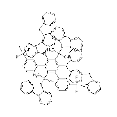 CC(C)(c1c(-c2cccc(C(F)(F)F)c2)c(-n2c3ccccc3c3c4sc5ccccc5c4ccc32)c(C(C)(C)n2c3ccccc3c3ccccc32)c(-n2c3ccccc3c3c4sc5ccccc5c4ccc32)c1-c1cccc(C(F)(F)F)c1)n1c2ccccc2c2ccccc21